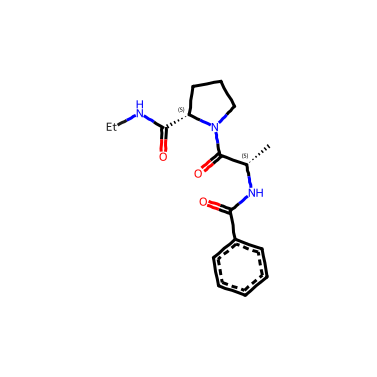 CCNC(=O)[C@@H]1CCCN1C(=O)[C@H](C)NC(=O)c1ccccc1